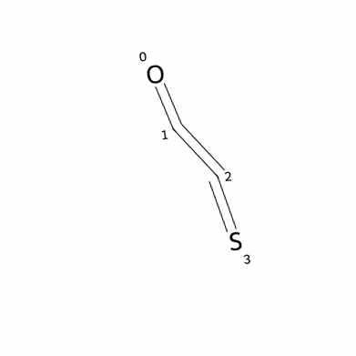 O=C=C=S